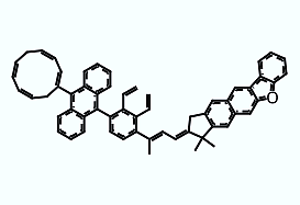 C=Cc1c(/C(C)=C/C=C2\Cc3cc4cc5c(cc4cc3C2(C)C)oc2ccccc25)ccc(-c2c3ccccc3c(/C3=C/C=C\C/C=C\C=C/C3)c3ccccc23)c1C=C